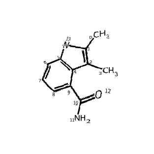 CC1=C(C)c2c(cccc2C(N)=O)[N]1